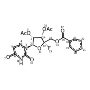 CC(=O)O[C@H]1[C@H](n2ncc(=O)[nH]c2=O)O[C@](F)(COC(=O)c2ccccc2)[C@H]1OC(C)=O